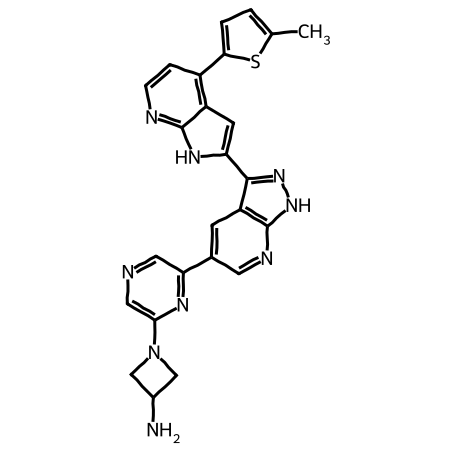 Cc1ccc(-c2ccnc3[nH]c(-c4n[nH]c5ncc(-c6cncc(N7CC(N)C7)n6)cc45)cc23)s1